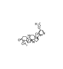 CCOc1cncc(C2=CC[C@H]3[C@@H]4CC=C5N(C)C(=O)CC[C@]5(C)[C@H]4CC[C@]23C)c1